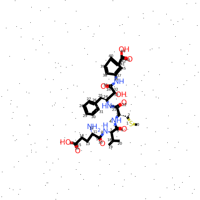 CSC[C@H](NC(=O)[C@@H](NC(=O)[C@@H](N)CCC(=O)O)C(C)C)C(=O)N[C@@H](Cc1ccccc1)[C@@H](O)C(=O)Nc1cccc(C(=O)O)c1